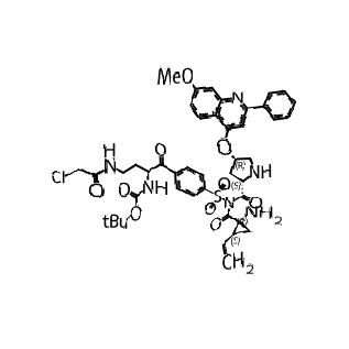 C=C[C@@H]1C[C@]1(N)C(=O)N(C(=O)[C@@H]1C[C@@H](Oc2cc(-c3ccccc3)nc3cc(OC)ccc23)CN1)S(=O)(=O)c1ccc(C(=O)C(CCNC(=O)CCl)NC(=O)OC(C)(C)C)cc1